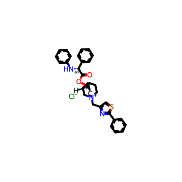 O=C(O[C@H]1C[N+]2(Cc3csc(-c4ccccc4)n3)CCC1CC2)[C@H](Nc1ccccc1)c1ccccc1.[Cl-]